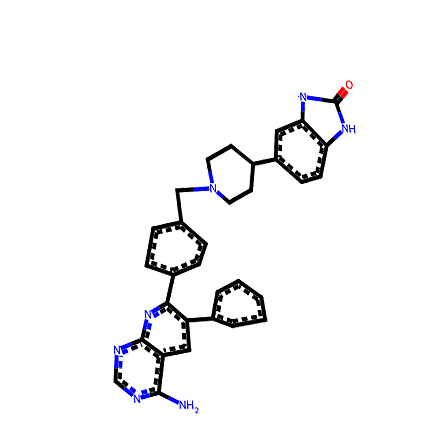 Nc1ncnc2nc(-c3ccc(CN4CCC(c5ccc6c(c5)[N]C(=O)N6)CC4)cc3)c(-c3ccccc3)cc12